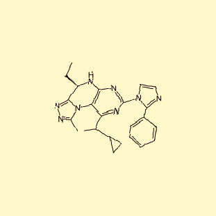 CC[C@H]1Nc2nc(-n3ccnc3-c3ccccc3)nc(C(C)C3CC3)c2-n2c(C)nnc21